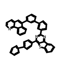 c1ccc(-c2ccc(-c3nc(-c4cccc(-c5cccc(-c6cc7cccnc7c7ccccc67)c5)c4)nc4c3sc3ccccc34)cc2)cc1